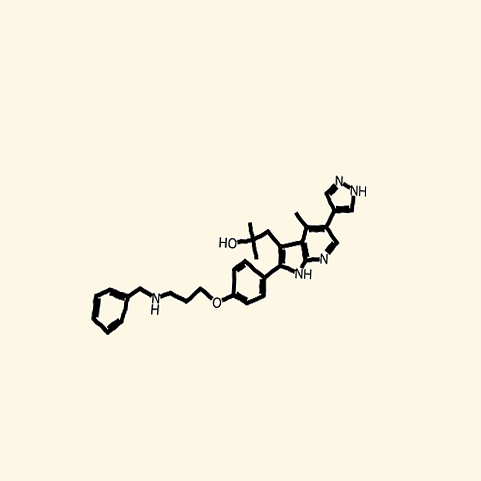 Cc1c(-c2cn[nH]c2)cnc2[nH]c(-c3ccc(OCCCNCc4ccccc4)cc3)c(CC(C)(C)O)c12